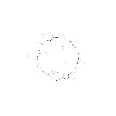 COC1C[C@@H]2C[S+]([O-])C[C@@H]3CC(OC)[C@@H](CC3OC)[S@+]([O-])[C@@H]3CC(OC)[C@@H](CC3OC)C[S+]([O-])C[C@H]3CC(OC)[C@H](CC3OC)C[S+]([O-])C[C@H]3CC(OC)[C@H](C[C@H]3OC)C[S+]([O-])C[C@@H]3CC(OC)[C@@H](CC3OC)C[S+]([O-])C[C@H]1CC2OC